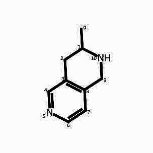 CC1Cc2cnccc2CN1